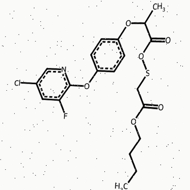 CCCCOC(=O)CSOC(=O)C(C)Oc1ccc(Oc2ncc(Cl)cc2F)cc1